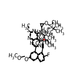 COCOc1cc(-c2cc3nc(SC)nc(N[C@@H]4C[C@H]4O[Si](C)(C)C(C)(C)C)c3c(OC)n2)c2c(C#C[Si](C(C)C)(C(C)C)C(C)C)c(F)ccc2c1